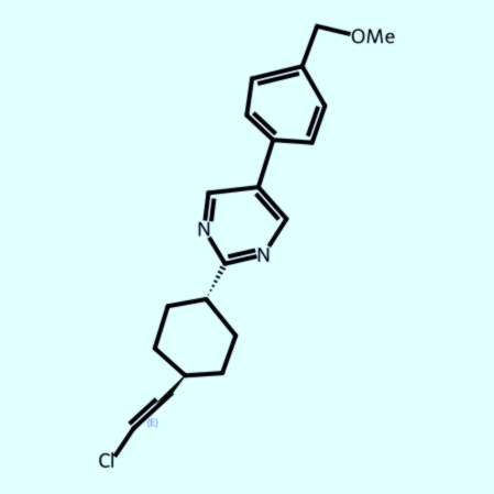 COCc1ccc(-c2cnc([C@H]3CC[C@H](/C=C/Cl)CC3)nc2)cc1